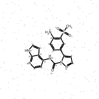 CS(=O)(=O)c1cc(-c2ccnn2C(=O)Nc2ccnc3[nH]ccc23)ccc1N